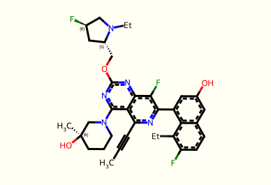 CC#Cc1nc(-c2cc(O)cc3ccc(F)c(CC)c23)c(F)c2nc(OC[C@@H]3C[C@@H](F)CN3CC)nc(N3CCC[C@@](C)(O)C3)c12